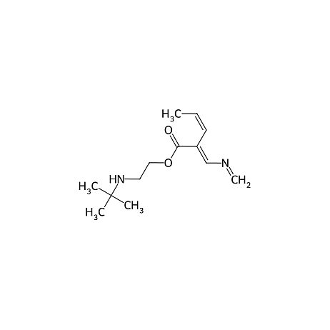 C=N/C=C(\C=C/C)C(=O)OCCNC(C)(C)C